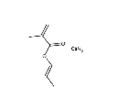 C=C(C)C(=O)OC=CC.[CaH2]